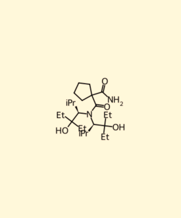 CCC(O)(CC)[C@@H](C(C)C)N(C(=O)C1(C(N)=O)CCCC1)[C@H](C(C)C)C(O)(CC)CC